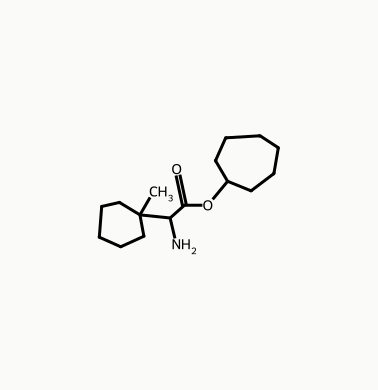 CC1(C(N)C(=O)OC2CCCCCC2)CCCCC1